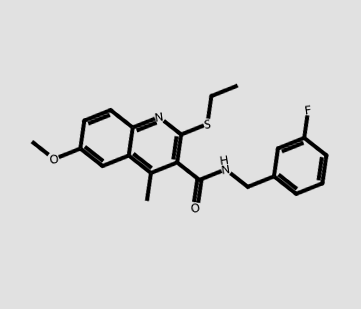 CCSc1nc2ccc(OC)cc2c(C)c1C(=O)NCc1cccc(F)c1